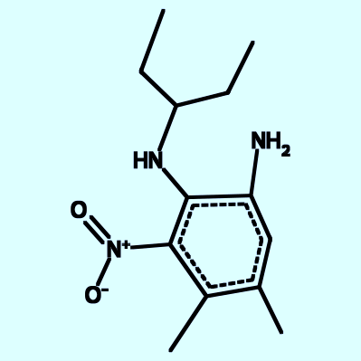 CCC(CC)Nc1c(N)cc(C)c(C)c1[N+](=O)[O-]